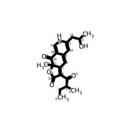 CCC(C)C(=O)C1=C2C=C3C=C(CC(C)O)NC=C3C(=O)C2(C)OC1=O